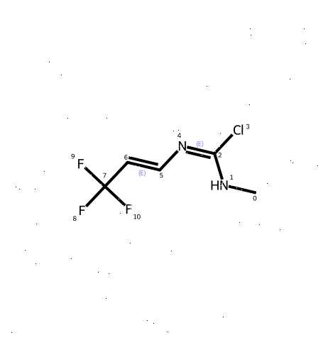 CN/C(Cl)=N\C=C\C(F)(F)F